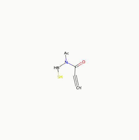 C#CC(=O)N(BS)C(C)=O